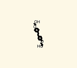 OCCOc1ccc(CCc2ccc(OCCO)cc2)cc1